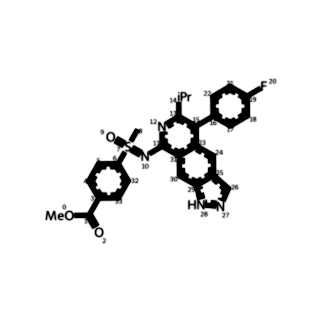 COC(=O)c1ccc(S(C)(=O)=Nc2nc(C(C)C)c(-c3ccc(F)cc3)c3cc4cn[nH]c4cc23)cc1